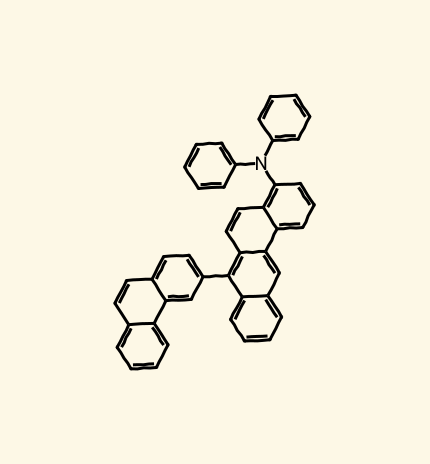 c1ccc(N(c2ccccc2)c2cccc3c2ccc2c(-c4ccc5ccc6ccccc6c5c4)c4ccccc4cc23)cc1